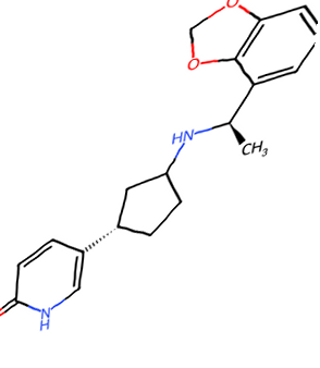 C[C@@H](NC1CC[C@H](c2ccc(=O)[nH]c2)C1)c1cccc2c1OCO2